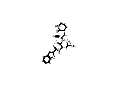 CC(C)C[C@H](NC(=O)C1Cc2ccccc2O1)C(=O)N[C@H](C#N)C[C@@H]1CCCNC1=O